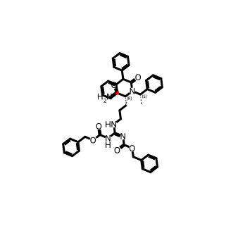 C[C@@H](c1ccccc1)N(C(=O)C(c1ccccc1)c1ccccc1)[C@H](CCCNC(=NC(=O)OCc1ccccc1)NC(=O)OCc1ccccc1)C(N)=O